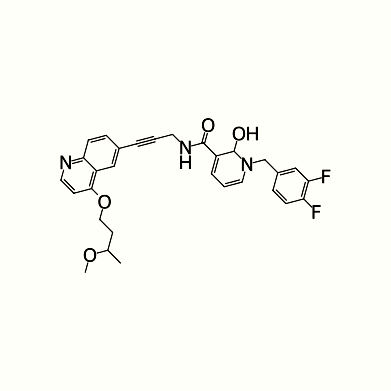 COC(C)CCOc1ccnc2ccc(C#CCNC(=O)C3=CC=CN(Cc4ccc(F)c(F)c4)C3O)cc12